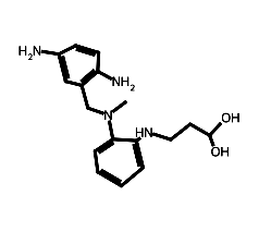 CN(Cc1cc(N)ccc1N)c1ccccc1NCCC(O)O